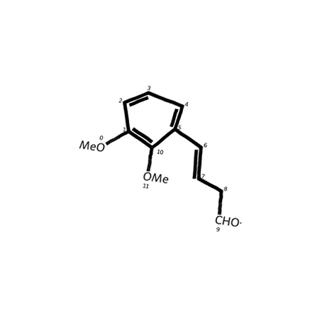 COc1cccc(C=CC[C]=O)c1OC